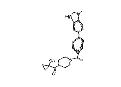 CN1CNc2cc(-c3ccc(C(=O)N4CCN(C(=O)C5(O)CC5)CC4)cc3)ccc21